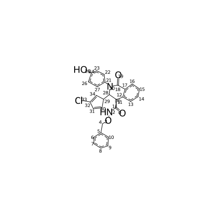 O=C(NOCc1ccccc1)[C@@H]1c2ccccc2C(=O)N(c2ccc(O)cc2)C1C1C=CC(Cl)=C1